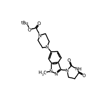 Cn1nc(N2CCC(=O)NC2=O)c2ccc(N3CCN(C(=O)OC(C)(C)C)CC3)cc21